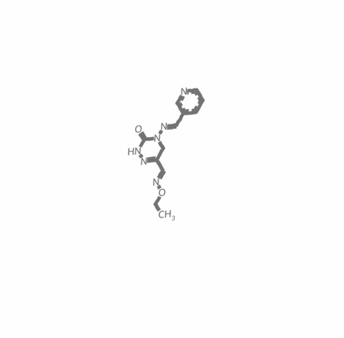 CCON=CC1=NNC(=O)N(N=Cc2cccnc2)C1